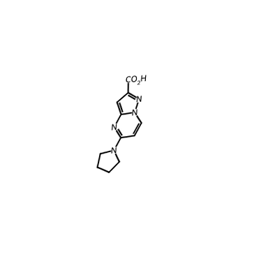 O=C(O)c1cc2nc(N3CCCC3)ccn2n1